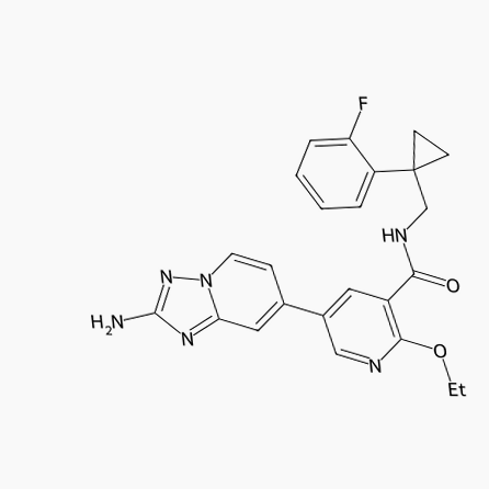 CCOc1ncc(-c2ccn3nc(N)nc3c2)cc1C(=O)NCC1(c2ccccc2F)CC1